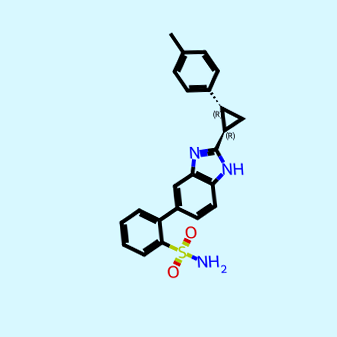 Cc1ccc([C@@H]2C[C@H]2c2nc3cc(-c4ccccc4S(N)(=O)=O)ccc3[nH]2)cc1